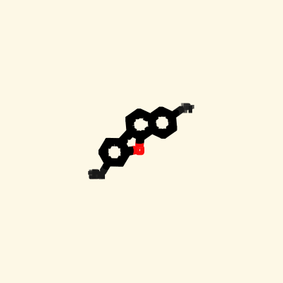 CC(C)c1ccc2c(ccc3c4ccc(C(C)(C)C)cc4oc23)c1